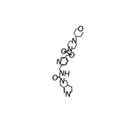 O=C(NCc1ccc(S(=O)(=O)N2CCN(C3CCOCC3)CC2)cn1)N1CC2=CN=CCC2C1